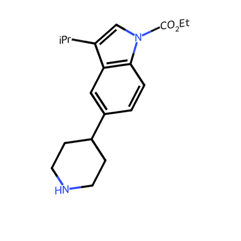 CCOC(=O)n1cc(C(C)C)c2cc(C3CCNCC3)ccc21